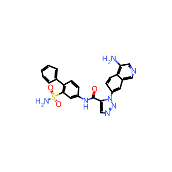 Nc1cncc2cc(-n3nncc3C(=O)Nc3ccc(-c4ccccc4)c(S(N)(=O)=O)c3)ccc12